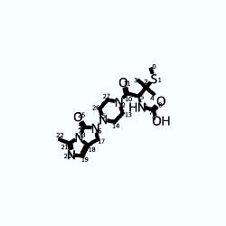 CSC(C)(C)[C@@H](NC(=O)O)C(=O)N1CCN(N2Cc3cnc(C)n3C2=O)CC1